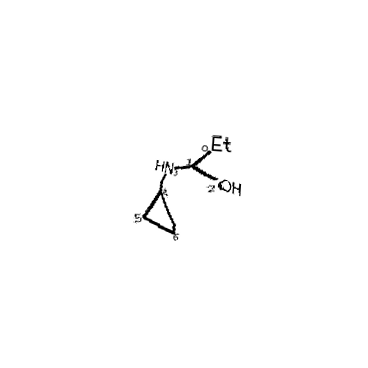 CCC(O)NC1CC1